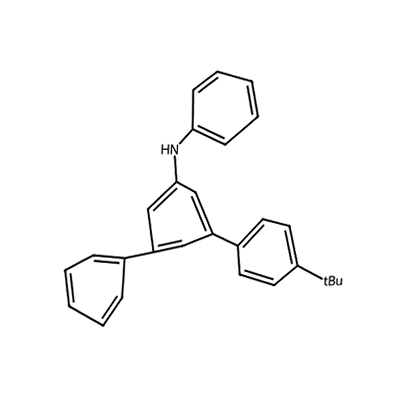 CC(C)(C)c1ccc(-c2cc(Nc3ccccc3)cc(-c3ccccc3)c2)cc1